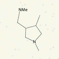 CNCC1CN(C)CC1C